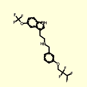 FC(F)C(F)(F)COc1cccc(CNCCc2c[nH]c3ccc(OC(F)(F)F)cc23)c1